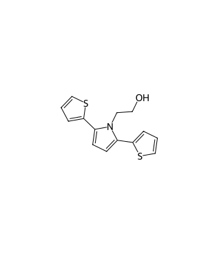 OCCn1c(-c2cccs2)ccc1-c1cccs1